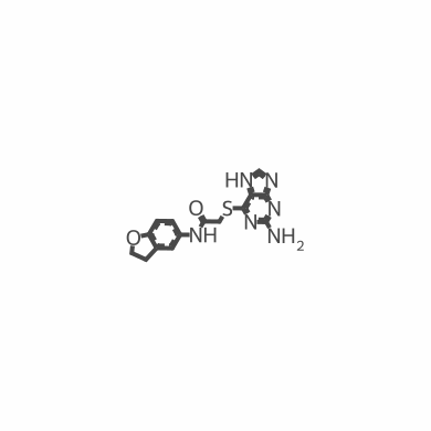 Nc1nc(SCC(=O)Nc2ccc3c(c2)CCO3)c2[nH]cnc2n1